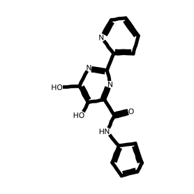 O=C(Nc1ccccc1)c1nc(-c2ccccn2)nc(O)c1O